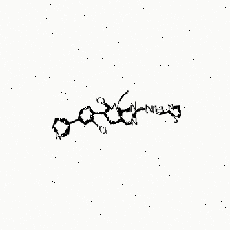 CCn1c(=O)c(-c2ccc(-c3cccnc3)cc2Cl)cc2cnc(NCc3nccs3)nc21